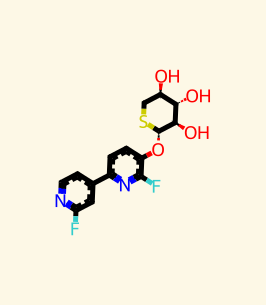 O[C@@H]1[C@@H](O)[C@H](Oc2ccc(-c3ccnc(F)c3)nc2F)SC[C@H]1O